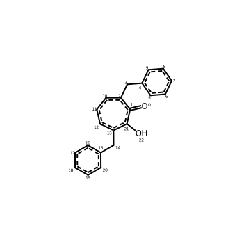 O=c1c(Cc2ccccc2)cccc(Cc2ccccc2)c1O